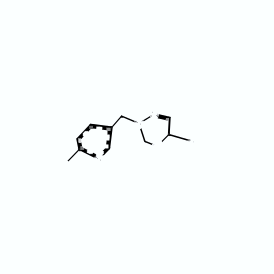 Cc1ccc(CN2COC(N)C=N2)cn1